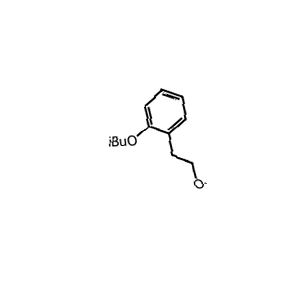 CC(C)COc1ccccc1CC[O]